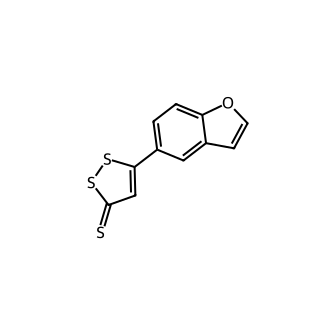 S=c1cc(-c2ccc3occc3c2)ss1